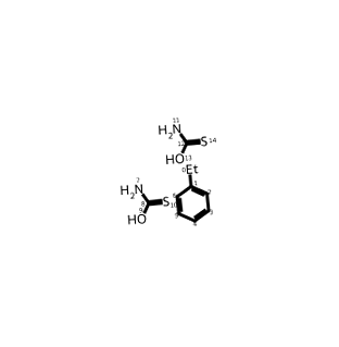 CCc1ccccc1.NC(O)=S.NC(O)=S